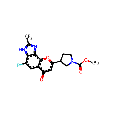 CC(C)(C)OC(=O)N1CCC(c2cc(=O)c3cc(F)c4[nH]c(C(F)(F)F)nc4c3o2)C1